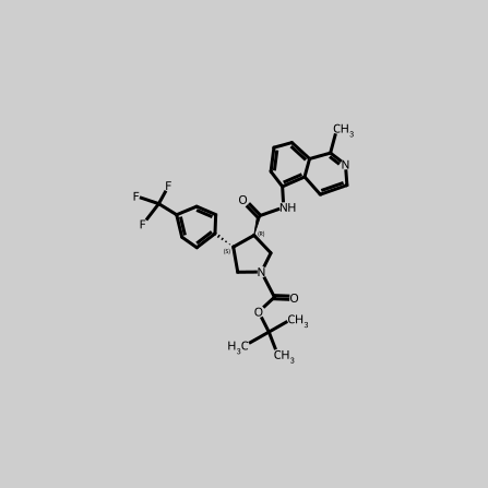 Cc1nccc2c(NC(=O)[C@H]3CN(C(=O)OC(C)(C)C)C[C@@H]3c3ccc(C(F)(F)F)cc3)cccc12